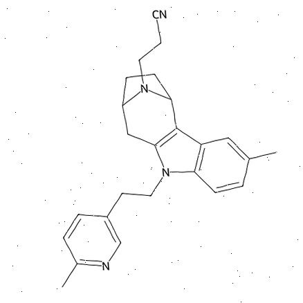 Cc1ccc2c(c1)c1c(n2CCc2ccc(C)nc2)CC2CCC1N2CCC#N